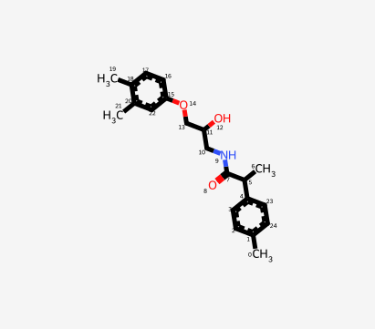 Cc1ccc(C(C)C(=O)NCC(O)COc2ccc(C)c(C)c2)cc1